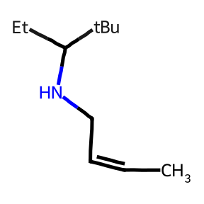 C/C=C\CNC(CC)C(C)(C)C